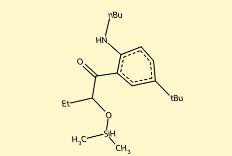 CCCCNc1ccc(C(C)(C)C)cc1C(=O)C(CC)O[SiH](C)C